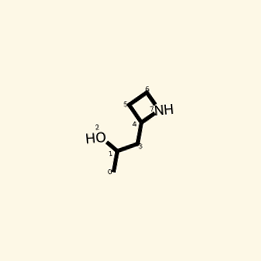 CC(O)CC1CCN1